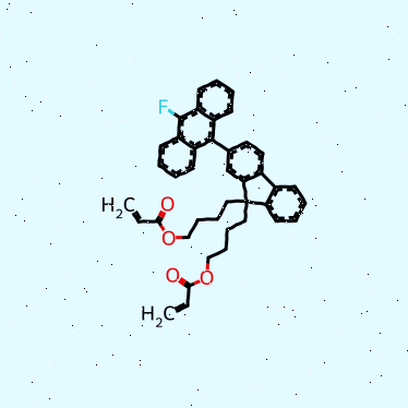 C=CC(=O)OCCCCC1(CCCCOC(=O)C=C)c2ccccc2-c2ccc(-c3c4ccccc4c(F)c4ccccc34)cc21